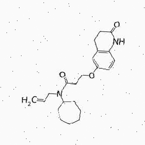 C=CCN(C(=O)CCOc1ccc2c(c1)CCC(=O)N2)C1CCCCCC1